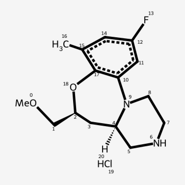 COC[C@@H]1C[C@@H]2CNCCN2c2cc(F)cc(C)c2O1.Cl